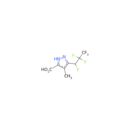 Cc1c(C(F)C(F)(F)C(F)(F)F)n[nH]c1C(=O)O